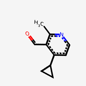 Cc1nccc(C2CC2)c1C=O